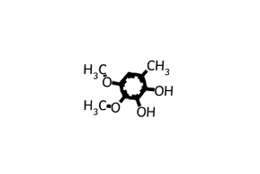 COc1cc(C)c(O)c(O)c1OC